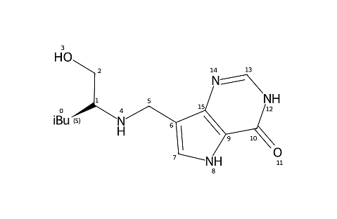 CC[C@H](C)C(CO)NCc1c[nH]c2c(=O)[nH]cnc12